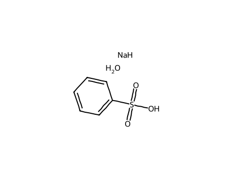 O.O=S(=O)(O)c1ccccc1.[NaH]